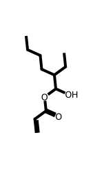 C=CC(=O)OC(O)C(CC)CCCC